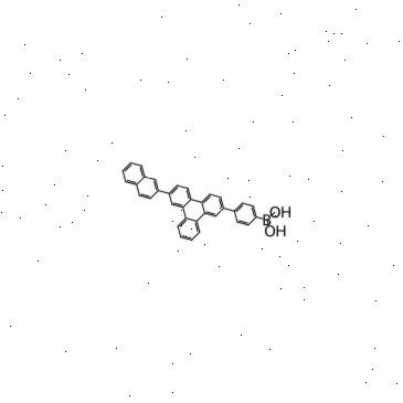 OB(O)c1ccc(-c2ccc3c4ccc(-c5ccc6ccccc6c5)cc4c4ccccc4c3c2)cc1